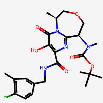 Cc1cc(CNC(=O)c2nc3n(c(=O)c2O)[C@@H](C)COC[C@H]3N(C)C(=O)OC(C)(C)C)ccc1F